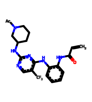 C=CC(=O)Nc1ccccc1Nc1nc(NC2CCCN(C(C)=O)C2)ncc1C(F)(F)F